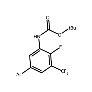 CC(=O)c1cc(NC(=O)OC(C)(C)C)c(F)c(C(F)(F)F)c1